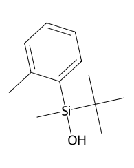 Cc1ccccc1[Si](C)(O)C(C)(C)C